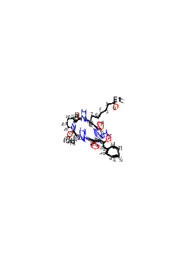 CCC(=O)CCCCC[C@@H]1NC(=O)[C@H]2CCCCN2C(=O)[C@H]([C@H](C)CC)NC(=O)[C@@H](C(=O)Cc2ccccc2)NC1=O